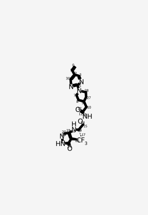 C=Cc1cnc(N2CCC(CC(=O)NOC[C@H](C)Nc3cn[nH]c(=O)c3C(F)(F)F)CC2)nc1